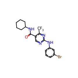 O=C(NC1CCCCC1)c1cnc(Nc2cccc(Br)c2)nc1C(F)(F)F